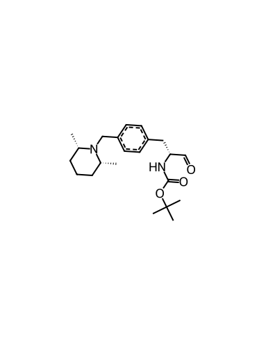 C[C@@H]1CCC[C@H](C)N1Cc1ccc(C[C@H](C=O)NC(=O)OC(C)(C)C)cc1